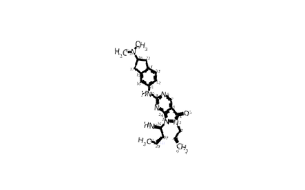 C=CCn1c(=O)c2cnc(Nc3ccc4c(c3)CC(N(C)C)C4)nc2n1C(=N)/C=C\C